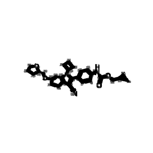 N#Cc1c(-c2ccc(NC(=O)OCC3CC3)cc2)n(C2CCC2)c2cc(OC[C@H]3CCCO3)ccc12